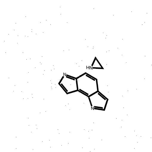 C1=Cc2c3c(ccc2=N1)=CC=N3.C1CN1